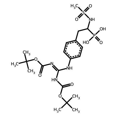 CC(C)(C)OC(=O)N=C(NC(=O)OC(C)(C)C)Nc1ccc(CC(NS(C)(=O)=O)P(=O)(O)O)cc1